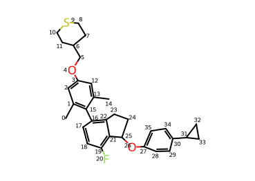 Cc1cc(OCC2CCSCC2)cc(C)c1-c1ccc(F)c2c1CCC2Oc1ccc(C2CC2)cc1